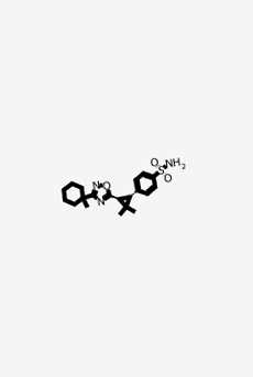 CC1(c2noc([C@H]3[C@H](c4ccc(S(N)(=O)=O)cc4)C3(C)C)n2)CCCCC1